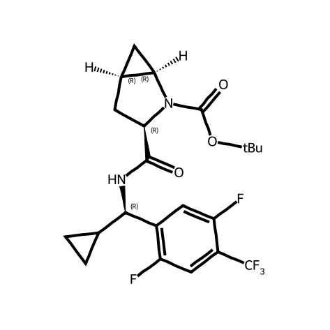 CC(C)(C)OC(=O)N1[C@@H](C(=O)N[C@@H](c2cc(F)c(C(F)(F)F)cc2F)C2CC2)C[C@H]2C[C@H]21